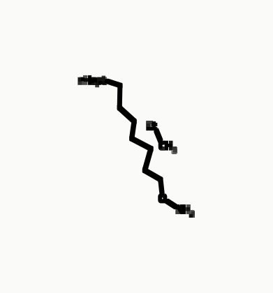 CCC.CCCCCCCCCCCCCCON